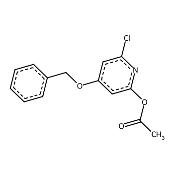 CC(=O)Oc1cc(OCc2ccccc2)cc(Cl)n1